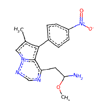 COC(N)Cc1ncnn2cc(C)c(-c3ccc([N+](=O)[O-])cc3)c12